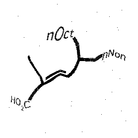 CCCCCCCCCC(C=C(C)C(=O)O)CCCCCCCC